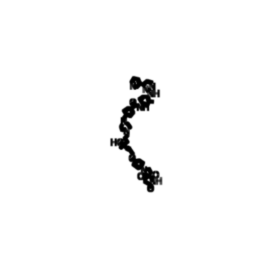 Cc1cc(NC(=O)c2ccc(CN3CCN(CCCC(C)(O)C#CCOc4ccc(N5CC[C@@]6(CCC(=O)NC6=O)C5=O)cc4)CC3)cc2)ccc1Nc1nccc(-c2cccnc2)n1